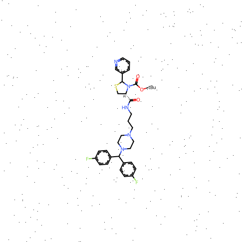 CC(C)(C)OC(=O)N1C(c2cccnc2)SC[C@H]1C(=O)NCCCN1CCN(C(c2ccc(F)cc2)c2ccc(F)cc2)CC1